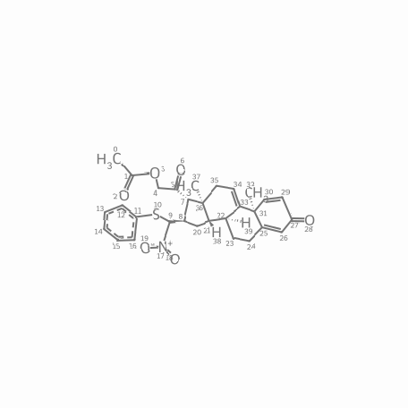 CC(=O)OCC(=O)[C@H]1[C@H](C(Sc2ccccc2)[N+](=O)[O-])C[C@H]2[C@@H]3CCC4=CC(=O)C=C[C@]4(C)C3=CC[C@@]21C